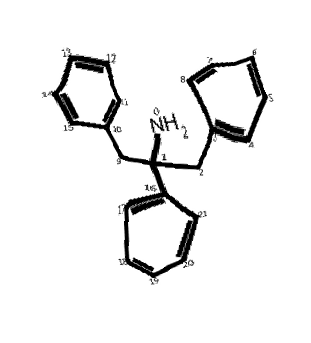 NC(Cc1ccccc1)(Cc1ccccc1)c1ccccc1